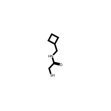 O=C(CS)NCC1CCC1